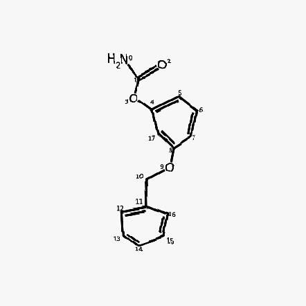 NC(=O)Oc1cccc(OCc2ccccc2)c1